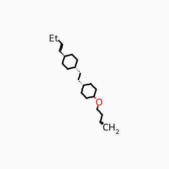 C=CCCO[C@H]1CC[C@H](CC[C@H]2CC[C@H](C=CCC)CC2)CC1